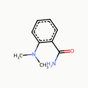 CN(C)c1ccccc1C(N)=O